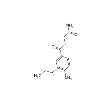 CCCc1cc(C(=O)CCC(N)=O)ccc1C